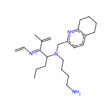 C=C/N=C(\C(=C)C)C(CCC)N(CCCCN)Cc1ccc2c(n1)CCCC2